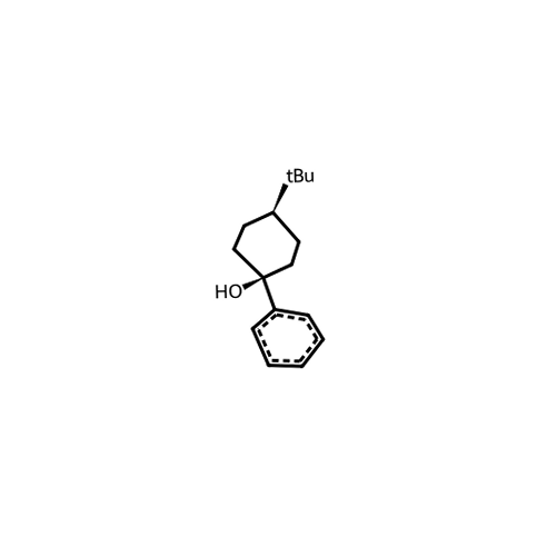 CC(C)(C)[C@H]1CC[C@](O)(c2ccccc2)CC1